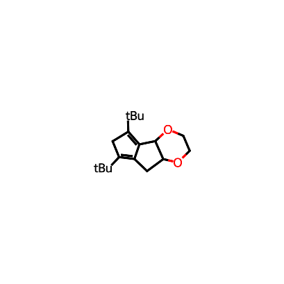 CC(C)(C)C1=C2CC3OCCOC3C2=C(C(C)(C)C)C1